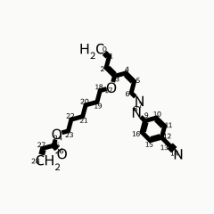 C=C/C=C(\C=C/C/N=N/c1ccc(C#N)cc1)OCCCCCCOC(=O)C=C